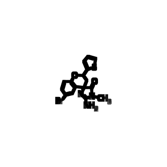 CN1C(=O)C2(CC(c3cccs3)Oc3ccc(Br)cc32)N=C1N